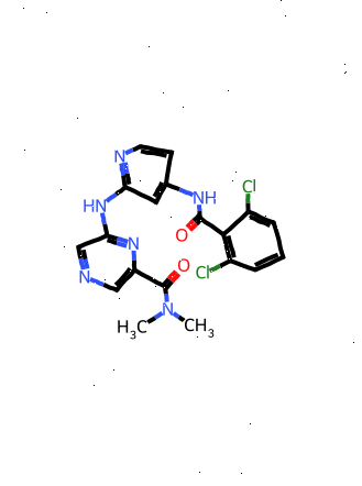 CN(C)C(=O)c1cncc(Nc2cc(NC(=O)c3c(Cl)cccc3Cl)ccn2)n1